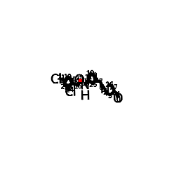 O=[C]C1CCN(CCc2cccc(NC(=O)Cc3ccc(Cl)cc3Cl)c2)CC1